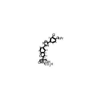 CCCOc1ccc(-c2nc(-c3ccc4oc(C(CO)(CO)NC(=O)O)cc4c3)no2)cc1Cl